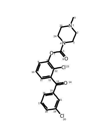 CN1CCN(C(=O)Oc2cccc(C(=O)c3cccc(Cl)c3)c2Cl)CC1